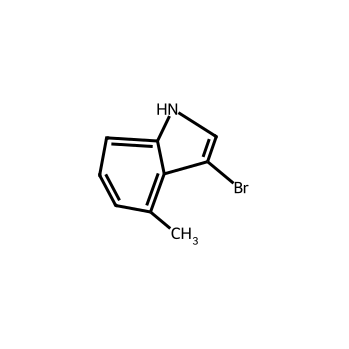 Cc1cccc2[nH]cc(Br)c12